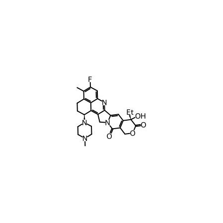 CC[C@@]1(O)C(=O)OCc2c1cc1n(c2=O)Cc2c-1nc1cc(F)c(C)c3c1c2[C@@H](N1CCN(C)CC1)CC3